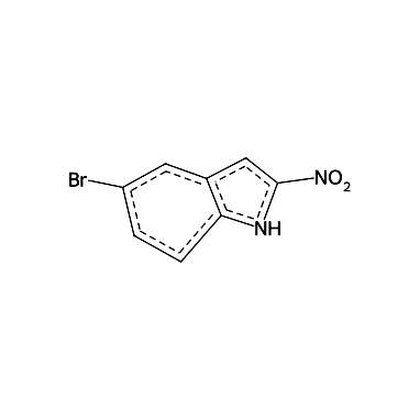 O=[N+]([O-])c1cc2cc(Br)ccc2[nH]1